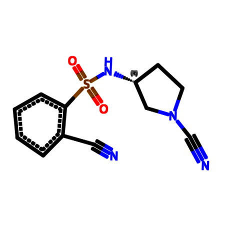 N#Cc1ccccc1S(=O)(=O)N[C@@H]1CCN(C#N)C1